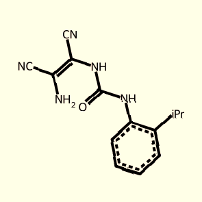 CC(C)c1ccccc1NC(=O)NC(C#N)=C(N)C#N